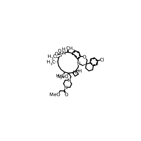 C=C1NS(=O)(=O)[C@H](C)[C@@H](C)CCC(C)C(CN2CCN(C(=O)COC)CC2)(OC)[C@@H]2CC[C@H]2CN2C[C@@]3(CCCc4cc(Cl)ccc43)COc3ccc1cc32